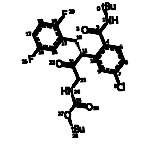 CC(C)(C)NC(=O)c1ccc(Cl)cc1[C@@H](Cc1cc(F)ccc1F)C(=O)CNC(=O)OC(C)(C)C